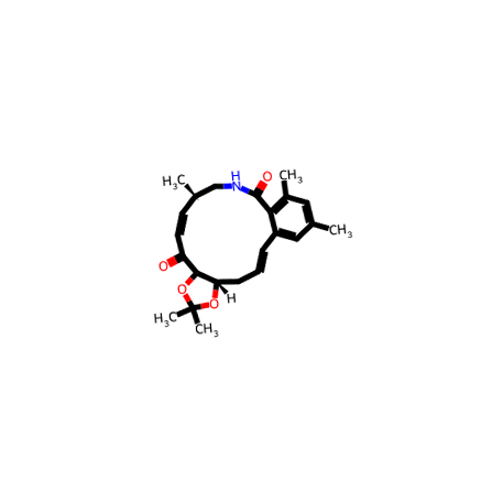 Cc1cc(C)c2c(c1)/C=C/C[C@@H]1OC(C)(C)OC1C(=O)/C=C\[C@@H](C)CNC2=O